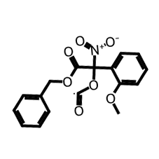 COc1ccccc1C(O[C]=O)(C(=O)OCc1ccccc1)[N+](=O)[O-]